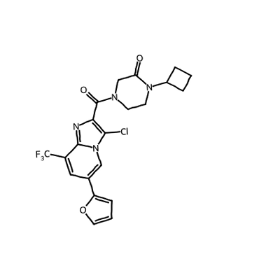 O=C(c1nc2c(C(F)(F)F)cc(-c3ccco3)cn2c1Cl)N1CCN(C2CCC2)C(=O)C1